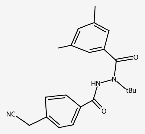 Cc1cc(C)cc(C(=O)N(NC(=O)c2ccc(CC#N)cc2)C(C)(C)C)c1